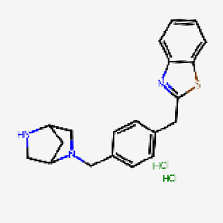 Cl.Cl.c1ccc2sc(Cc3ccc(CN4CC5CC4CN5)cc3)nc2c1